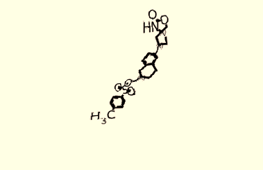 Cc1ccc(S(=O)(=O)OC[C@@H]2CCc3cc([C@@H]4CC[C@]5(COC(=O)N5)C4)ccc3C2)cc1